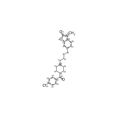 Cn1c(=O)oc2cc(CCCCN3CCC(C(=O)c4ccc(Cl)cc4)CC3)ccc21